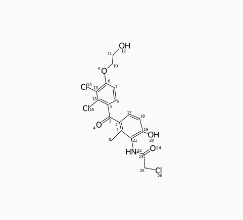 Cc1c(C(=O)c2ccc(OCCO)c(Cl)c2Cl)ccc(O)c1NC(=O)CCl